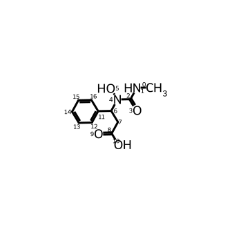 CNC(=O)N(O)C(CC(=O)O)c1ccccc1